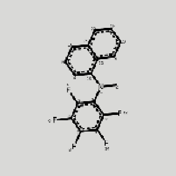 CN(c1c(F)c(F)c(F)c(F)c1F)c1cccc2ccccc12